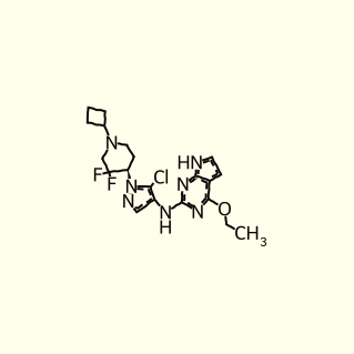 CCOc1nc(Nc2cnn([C@@H]3CCN(C4CCC4)CC3(F)F)c2Cl)nc2[nH]ccc12